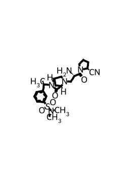 C[C@H](c1cccc(S(=O)(=O)N(C)C)c1)N1C(=O)[C@@H]2C[C@H]1CN2C[C@H](N)C(=O)N1CCC[C@H]1C#N